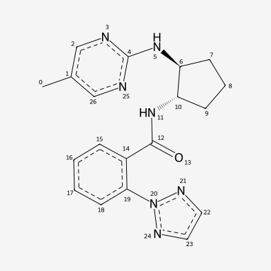 Cc1cnc(N[C@H]2CCC[C@@H]2NC(=O)c2ccccc2-n2nccn2)nc1